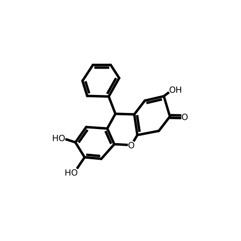 O=C1CC2=C(C=C1O)C(c1ccccc1)c1cc(O)c(O)cc1O2